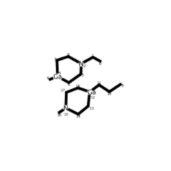 CCN1C[CH2][Ga]([CH3])[CH2]C1.CC[CH2][Ga]1[CH2]CN(C)C[CH2]1